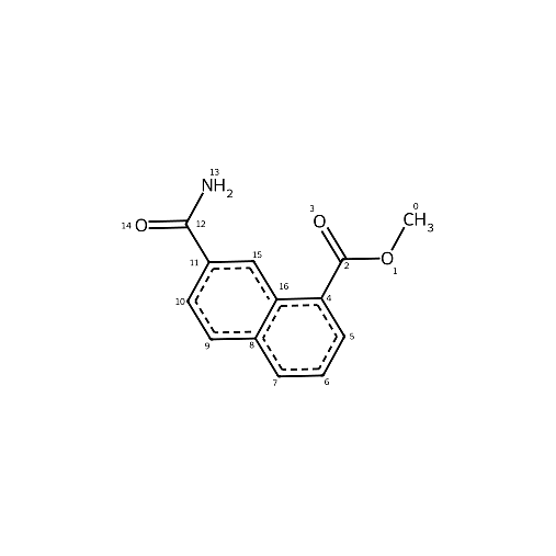 COC(=O)c1cccc2ccc(C(N)=O)cc12